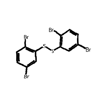 Brc1ccc(Br)c(SSc2cc(Br)ccc2Br)c1